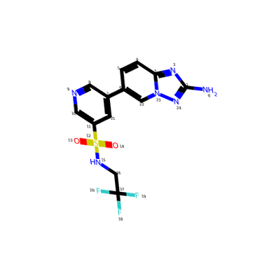 Nc1nc2ccc(-c3cncc(S(=O)(=O)NCC(F)(F)F)c3)cn2n1